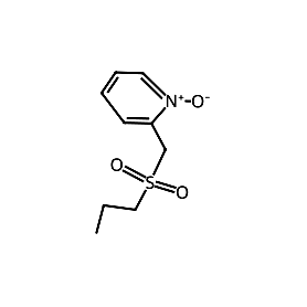 CCCS(=O)(=O)Cc1cccc[n+]1[O-]